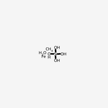 C.O.O[Si](O)(O)O.[Fe]